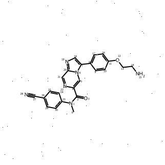 CN(C(=O)c1cn2c(-c3ccc(OCCN)cc3)cnc2cn1)c1ccc(C#N)cc1